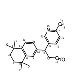 CC1(C)CCC(C)(C)c2cc(C(CC=O)c3ccc(C(F)(F)F)nc3)ccc21